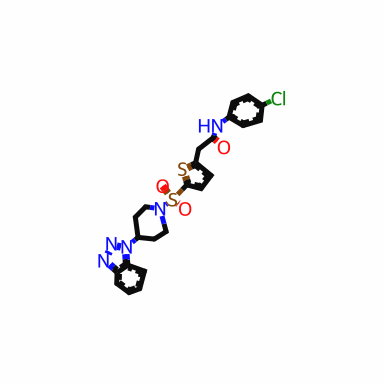 O=C(Cc1ccc(S(=O)(=O)N2CCC(n3nnc4ccccc43)CC2)s1)Nc1ccc(Cl)cc1